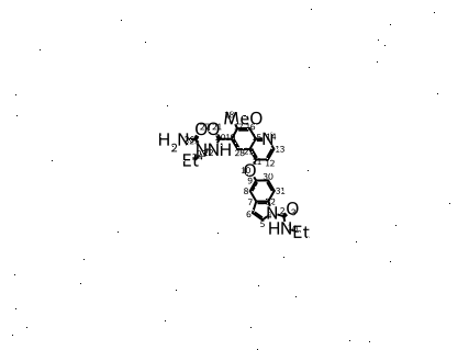 CCNC(=O)n1ccc2cc(Oc3ccnc4cc(OC)c(C(=O)NN(CC)C(N)=O)cc34)ccc21